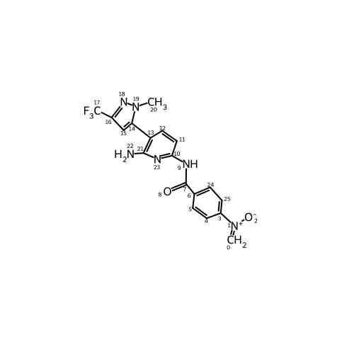 C=[N+]([O-])c1ccc(C(=O)Nc2ccc(-c3cc(C(F)(F)F)nn3C)c(N)n2)cc1